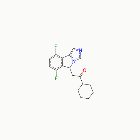 O=C(CC1c2c(F)ccc(F)c2-c2cncn21)C1CCCCC1